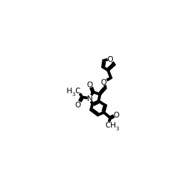 CC(=O)c1ccc2c(c1)C(=COCc1ccoc1)C(=O)N2C(C)=O